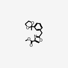 COC(=O)c1coc(Cc2cccc(C3(C)OCCO3)c2)n1